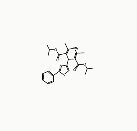 CC1=C(C(=O)OC(C)C)C(c2csc(-c3ccccc3)n2)C(C(=O)OC(C)C)=C(C)N1